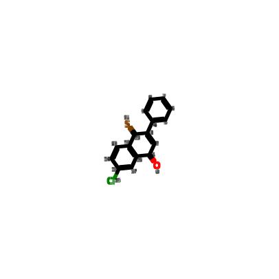 O=C1C=C(c2ccccc2)C(=S)c2ccc(Cl)cc21